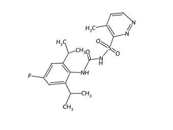 Cc1ccnnc1S(=O)(=O)NC(=O)Nc1c(C(C)C)cc(F)cc1C(C)C